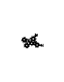 N#Cc1ccc2c3cc4c(c5c6ccc(C#N)cc6n(c2c1)c35)C1Nc2ccccc2N1c1ccccc1-4